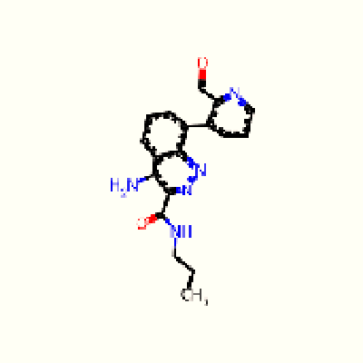 CCCNC(=O)c1nnc2c(-c3cccnc3C=O)cccc2c1N